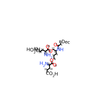 CCCCCCCCCCCC(=O)NC(CCCOC(=O)C(N)CCC(=O)O)COC(=O)C(N)CCC(=O)O.[KH]